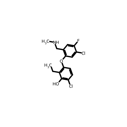 CCc1c(Oc2cc(Cl)c(F)cc2CNC)ccc(Cl)c1O